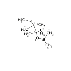 CCC(C)(C)C(C)(C)OB(C)C